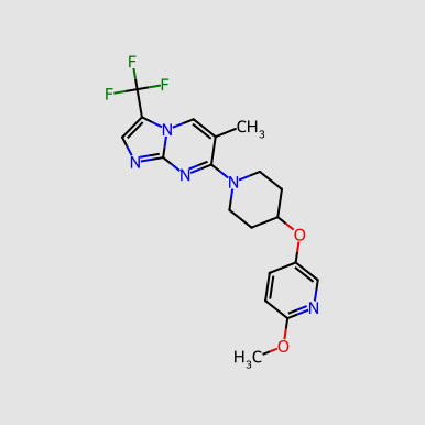 COc1ccc(OC2CCN(c3nc4ncc(C(F)(F)F)n4cc3C)CC2)cn1